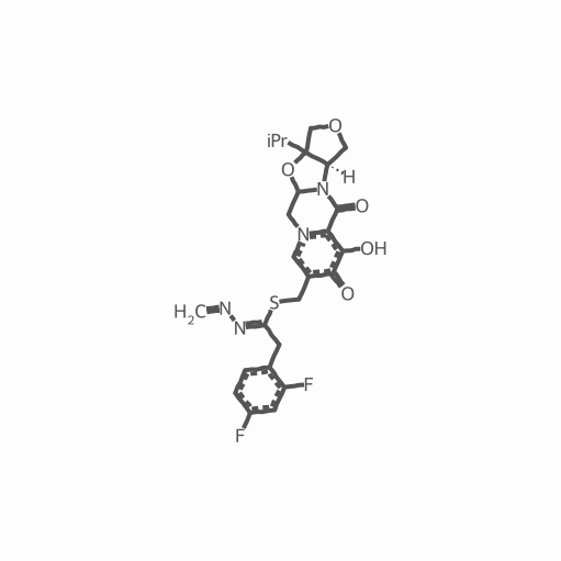 C=N/N=C(/Cc1ccc(F)cc1F)SCc1cn2c(c(O)c1=O)C(=O)N1C(C2)OC2(C(C)C)COC[C@@H]12